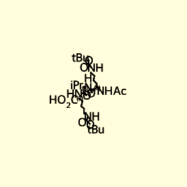 CC(=O)N[C@@H](CCCCNC(=O)OC(C)(C)C)C(=O)N[C@H](C(=O)N[C@@H](CCCCNC(=O)OC(C)(C)C)C(=O)O)C(C)C